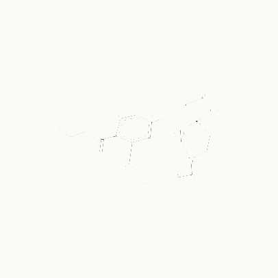 CCOC(=O)c1ccc(O[C@H]2CN(CC)CCC23CCC3)cc1CCl